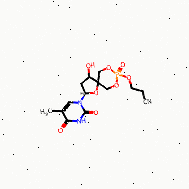 Cc1cn([C@H]2CC(O)C3(COP(=O)(OCCC#N)OC3)O2)c(=O)[nH]c1=O